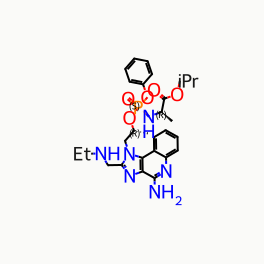 CCNCc1nc2c(N)nc3ccccc3c2n1C[C@@H](C)O[P@@](=O)(N[C@H](C)C(=O)OC(C)C)Oc1ccccc1